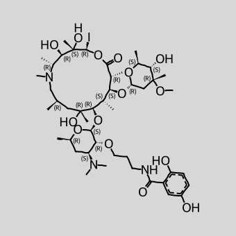 CO[C@]1(C)C[C@H](O[C@H]2[C@H](C)[C@@H](O[C@@H]3O[C@H](C)C[C@H](N(C)C)[C@H]3OCCCNC(=O)c3cc(O)ccc3O)[C@](C)(O)C[C@@H](C)CN(C)[C@H](C)[C@@H](O)[C@](C)(O)[C@@H](I)OC(=O)[C@@H]2C)O[C@@H](C)[C@@H]1O